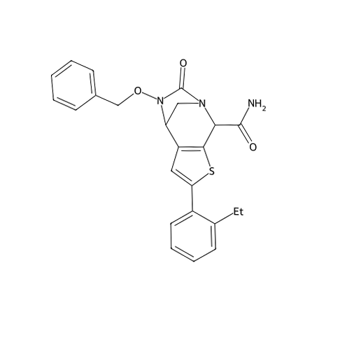 CCc1ccccc1-c1cc2c(s1)C(C(N)=O)N1CC2N(OCc2ccccc2)C1=O